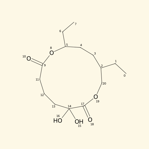 CCC1CCC(CC)OC(=O)CCCC(O)(O)C(=O)OC1